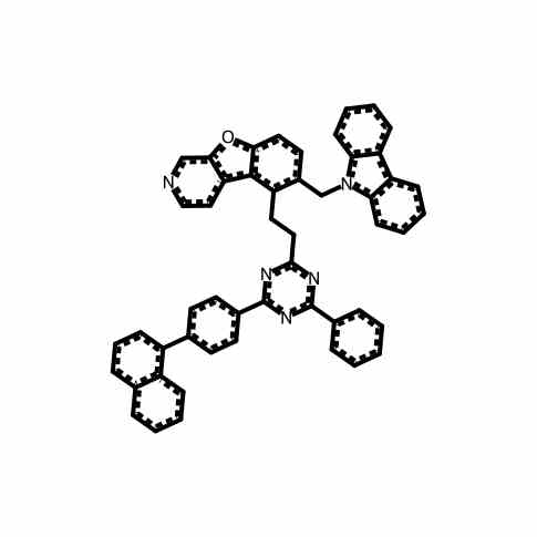 c1ccc(-c2nc(CCc3c(Cn4c5ccccc5c5ccccc54)ccc4oc5cnccc5c34)nc(-c3ccc(-c4cccc5ccccc45)cc3)n2)cc1